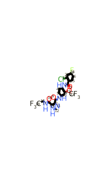 O=C(Nc1ccc(NC(=O)c2nc[nH]c2C(=O)NCC(F)(F)F)cc1OC(F)(F)F)c1ccc(F)cc1Cl